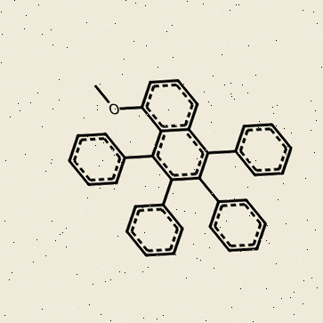 COc1cccc2c(-c3ccccc3)c(-c3ccccc3)c(-c3ccccc3)c(-c3ccccc3)c12